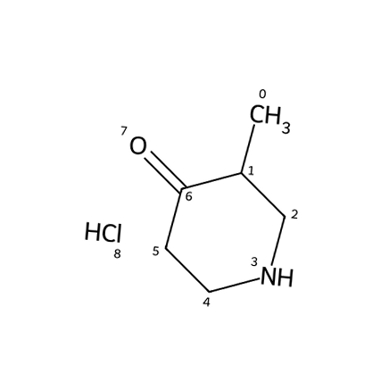 CC1CNCCC1=O.Cl